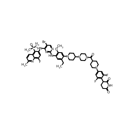 CCc1cc(Nc2ncc(Br)c(Nc3cc(F)c4nc(C)ccc4c3P(C)(C)=O)n2)c(OC)cc1N1CCC(N2CCN(C(=O)C3CCN(c4cc(F)c(C5CCC(=O)NC5=O)c(F)c4)CC3)CC2)CC1